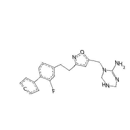 NC1=NCNCN1Cc1cc(CCc2ccc(-c3ccccc3)c(F)c2)no1